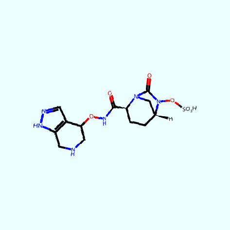 O=C(NOC1CNCc2[nH]ncc21)[C@@H]1CC[C@@H]2CN1C(=O)N2OS(=O)(=O)O